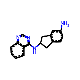 Nc1ccc2c(c1)CC(Nc1ncnc3ccccc13)C2